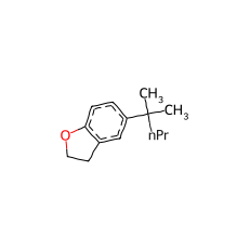 CCCC(C)(C)c1ccc2c(c1)CCO2